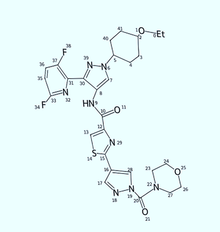 CCOC1CCC(n2cc(NC(=O)c3csc(-c4cnn(C(=O)N5CCOCC5)c4)n3)c(-c3nc(F)ccc3F)n2)CC1